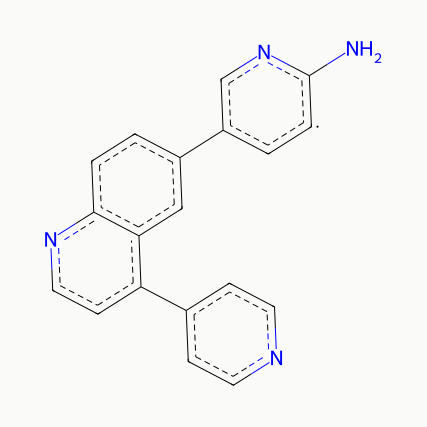 Nc1[c]cc(-c2ccc3nccc(-c4ccncc4)c3c2)cn1